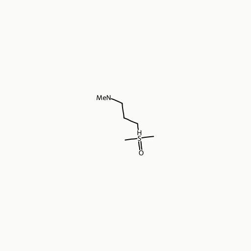 CNCCC[SH](C)(C)=O